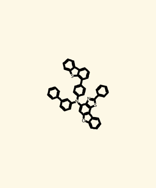 c1ccc(-c2cccc(N(c3ccc(-c4cccc5c4sc4ccccc45)cc3)c3cc4oc5ccccc5c4c4sc(-c5ccccc5)nc34)c2)cc1